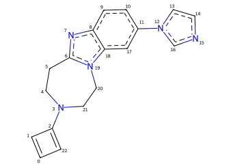 C1=CC(N2CCc3nc4ccc(-n5ccnc5)cc4n3CC2)=C1